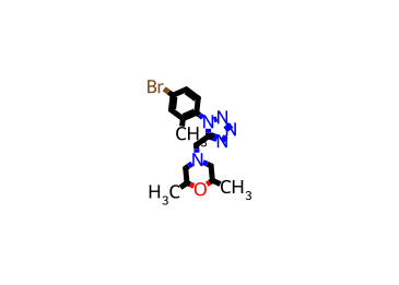 Cc1cc(Br)ccc1-n1nnnc1CN1CC(C)OC(C)C1